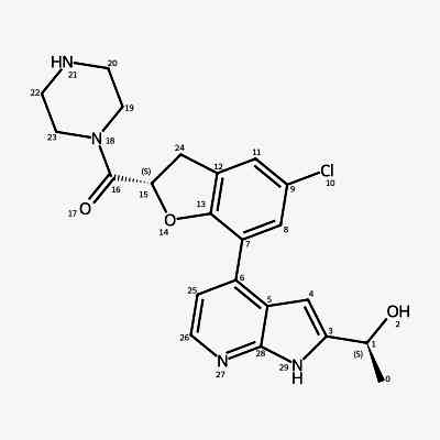 C[C@H](O)c1cc2c(-c3cc(Cl)cc4c3O[C@H](C(=O)N3CCNCC3)C4)ccnc2[nH]1